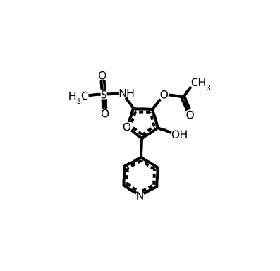 CC(=O)Oc1c(NS(C)(=O)=O)oc(-c2ccncc2)c1O